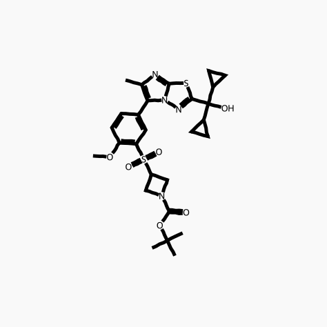 COc1ccc(-c2c(C)nc3sc(C(O)(C4CC4)C4CC4)nn23)cc1S(=O)(=O)C1CN(C(=O)OC(C)(C)C)C1